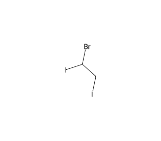 BrC(I)CI